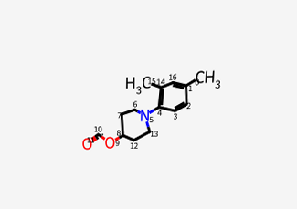 Cc1ccc(N2CCC(O[C]=O)CC2)c(C)c1